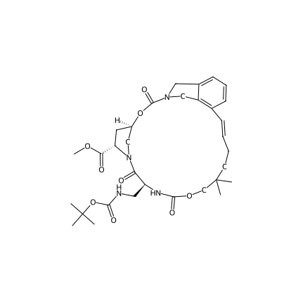 COC(=O)[C@@H]1C[C@@H]2CN1C(=O)[C@H](CNC(=O)OC(C)(C)C)NC(=O)OCC(C)(C)CC/C=C/c1cccc3c1CN(C3)C(=O)O2